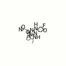 CCC(Nc1nc(Nc2ccc(OC)c(F)c2)nc(OCc2cnco2)n1)C1CCCN1